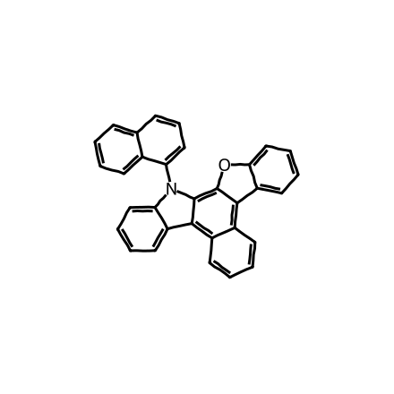 c1ccc2c(-n3c4ccccc4c4c5ccccc5c5c6ccccc6oc5c43)cccc2c1